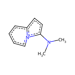 CN(C)c1ccc2ccccn12